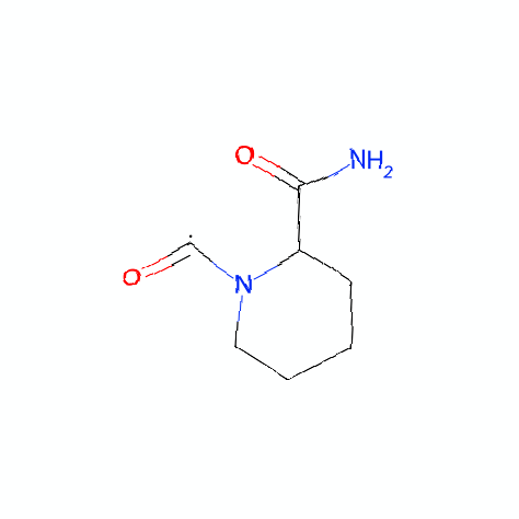 NC(=O)C1CCCCN1[C]=O